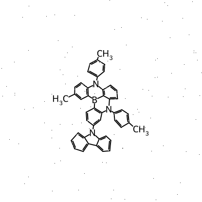 Cc1ccc(N2c3ccc(C)cc3B3c4ccc(-n5c6ccccc6c6ccccc65)cc4N(c4ccc(C)cc4)c4cccc2c43)cc1